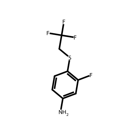 Nc1ccc(SCC(F)(F)F)c(F)c1